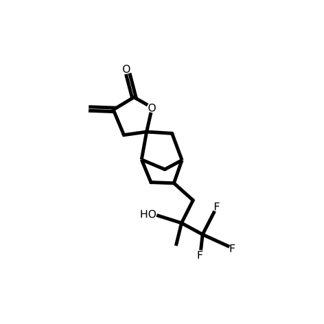 C=C1CC2(CC3CC2CC3CC(C)(O)C(F)(F)F)OC1=O